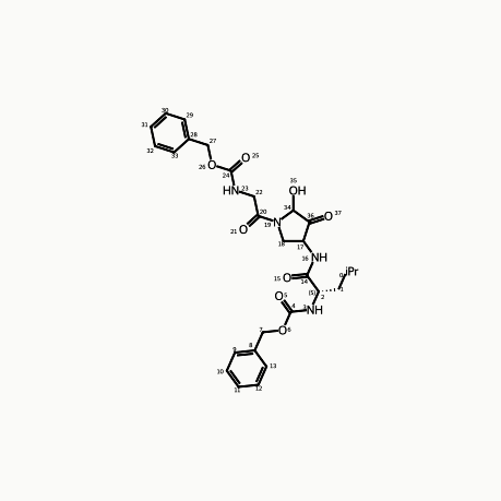 CC(C)C[C@H](NC(=O)OCc1ccccc1)C(=O)NC1CN(C(=O)CNC(=O)OCc2ccccc2)C(O)C1=O